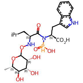 CC(C)C[C@H](NOC1O[C@@H](C)[C@H](O)[C@@H](O)[C@H]1O)C(=O)N([C@@H](Cc1c[nH]c2ccccc12)C(=O)O)[PH](=O)O